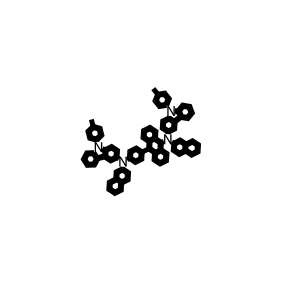 Cc1ccc(-n2c3ccccc3c3cc(N(c4ccc(-c5c6ccccc6c(N(c6ccc7ccccc7c6)c6ccc7c(c6)c6ccccc6n7-c6ccc(C)cc6)c6ccccc56)cc4)c4ccc5ccccc5c4)ccc32)cc1